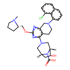 CN1CCC[C@H]1COc1nc2c(c(N3C[C@H]4C[C@H](O)[C@@H](C3)N4C(=O)O)n1)CCN(c1cccc3cccc(Cl)c13)C2